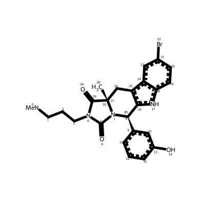 CNCCCN1C(=O)N2[C@H](c3cccc(O)c3)c3[nH]c4ccc(Br)cc4c3C[C@@]2(C)C1=O